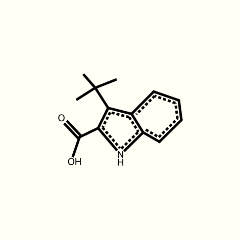 CC(C)(C)c1c(C(=O)O)[nH]c2ccccc12